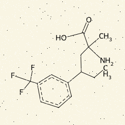 CCC(CC(C)(N)C(=O)O)c1cccc(C(F)(F)F)c1